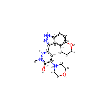 Cn1nc(-c2n[nH]c3ccc4c(c23)CCCO4)cc(N2CCOCC2)c1=O